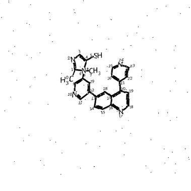 CC1=NC=C(S)[N+]1(C)c1cncc(-c2ccc3nccc(-c4ccncc4)c3c2)c1